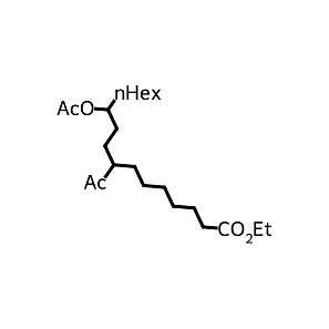 CCCCCCC(CCC(CCCCCCC(=O)OCC)C(C)=O)OC(C)=O